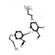 NCCN.NCCN.O=Cc1ccccc1[O-].O=Cc1ccccc1[O-].[Cu+2]